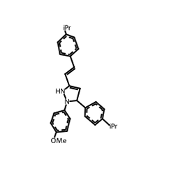 COc1ccc(N2NC(C=Cc3ccc(C(C)C)cc3)=CC2c2ccc(C(C)C)cc2)cc1